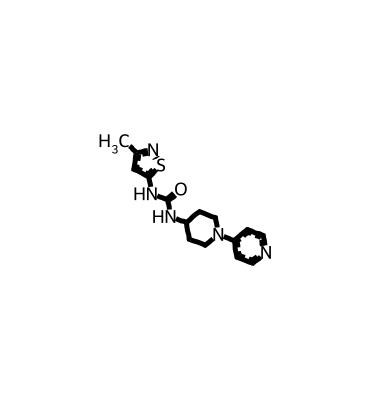 Cc1cc(NC(=O)NC2CCN(c3ccncc3)CC2)sn1